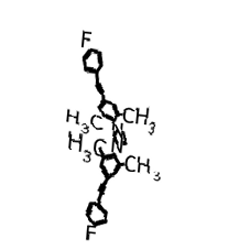 Cc1cc(C#Cc2ccc(F)cc2)cc(C)c1N1CCN(c2c(C)cc(C#Cc3ccc(F)cc3)cc2C)C1